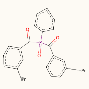 CC(C)c1cccc(C(=O)P(=O)(C(=O)c2cccc(C(C)C)c2)c2ccccc2)c1